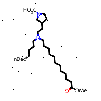 CCCCCCCCCCCCCCN(CCCCCCCCCCCC(=O)OC)CCC1CCN(C(=O)O)C1